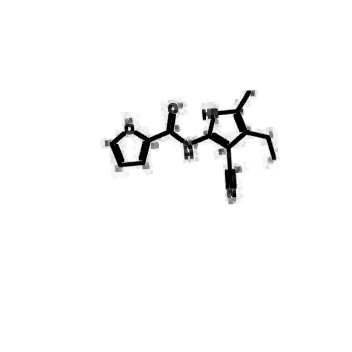 CCC1=C(C)BC(NC(=O)c2ccco2)=C1C#N